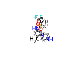 Cc1ccc(NS(=O)(=O)c2ccccc2OC(F)F)cc1N1CCCNCC1